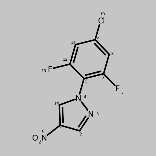 O=[N+]([O-])c1cnn(-c2c(F)cc(Cl)cc2F)c1